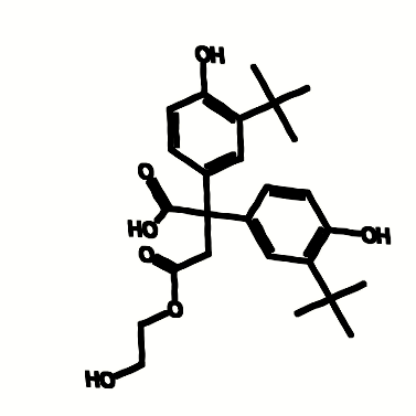 CC(C)(C)c1cc(C(CC(=O)OCCO)(C(=O)O)c2ccc(O)c(C(C)(C)C)c2)ccc1O